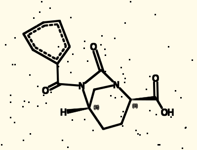 O=C(O)[C@H]1CC[C@H]2CN1C(=O)N2C(=O)c1ccccc1